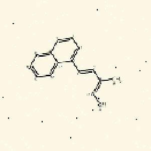 CC(C=Cc1cccc2ccccc12)=NO